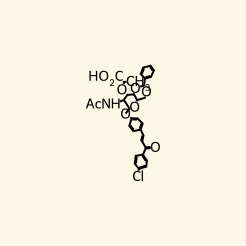 CC(=O)NC1C(Oc2ccc(/C=C/C(=O)c3ccc(Cl)cc3)cc2)OC2COC(c3ccccc3)OC2C1OC(C)C(=O)O